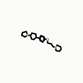 c1cc(C2CCC(N3CCCC3)CC2)ccc1OCCCN1CCCCC1